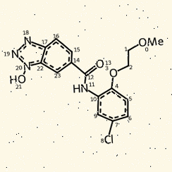 COCCOc1ccc(Cl)cc1NC(=O)c1ccc2nnn(O)c2c1